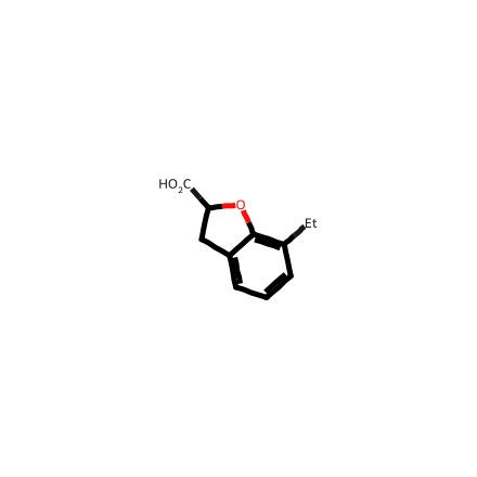 CCc1cccc2c1OC(C(=O)O)C2